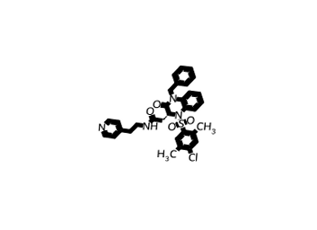 Cc1cc(S(=O)(=O)N2c3ccccc3N(Cc3ccccc3)C(=O)[C@H]2CC(=O)NCCc2ccncc2)c(C)cc1Cl